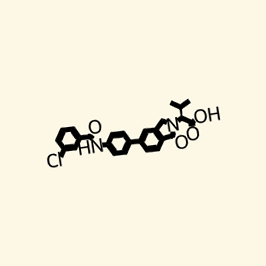 CC(C)[C@@H](C(=O)O)N1Cc2cc(-c3ccc(NC(=O)c4cccc(Cl)c4)cc3)ccc2C1=O